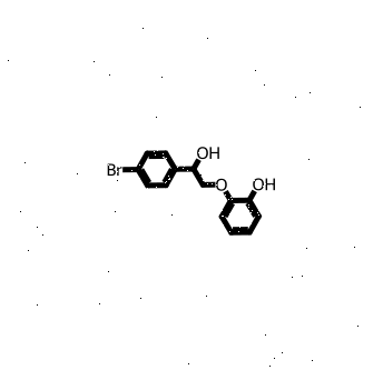 Oc1ccccc1OCC(O)c1ccc(Br)cc1